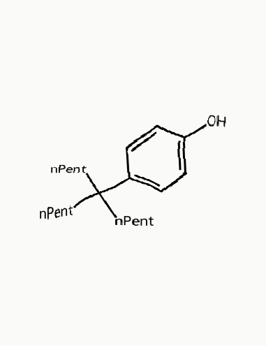 CCCCCC(CCCCC)(CCCCC)c1ccc(O)cc1